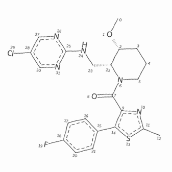 CO[C@@H]1CCCN(C(=O)c2nc(C)sc2-c2ccc(F)cc2)[C@@H]1CNc1ncc(Cl)cn1